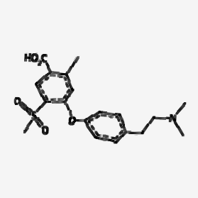 Cc1cc(Oc2ccc(CCN(C)C)cc2)c(S(C)(=O)=O)cc1C(=O)O